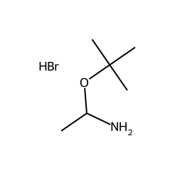 Br.CC(N)OC(C)(C)C